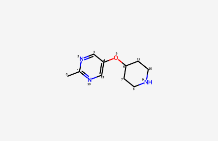 Cc1ncc(OC2CCNCC2)cn1